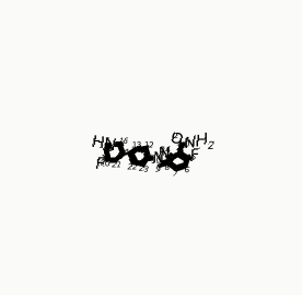 NC(=O)c1c(F)ccc2cn(-c3ccc([C@@H]4CNC[C@H](F)C4)cc3)nc12